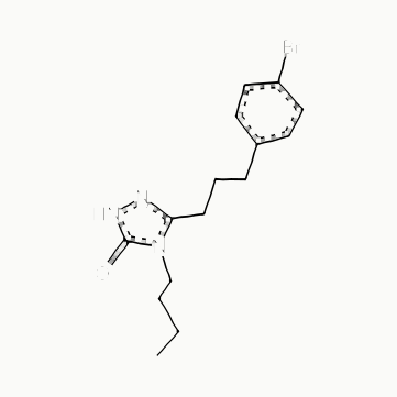 CCCCn1c(CCCc2ccc(Br)cc2)n[nH]c1=O